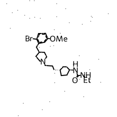 CCNC(=O)N[C@H]1CC[C@H](CCCN2CCC(Cc3cc(OC)ccc3Br)CC2)CC1